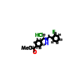 COC(=O)c1ccc(CNCc2ccccc2F)cc1.Cl